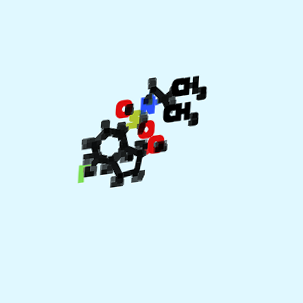 CC1(C)CN1S(=O)(=O)c1ccc(F)c2c1C(=O)CC2